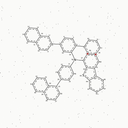 c1ccc(-c2ccc(-c3ccc4ccccc4c3)cc2N(c2ccc(-c3cccc4ccccc34)cc2)c2cccc3c2sc2ccccc23)cc1